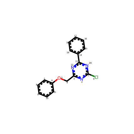 Clc1nc(COc2ccccc2)nc(-c2ccccc2)n1